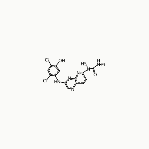 CCNC(=O)N(S)c1ccc2ncc(Nc3cc(O)c(Cl)cc3Cl)nc2n1